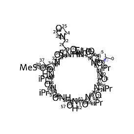 C/C=C/C[C@@H](C)[C@@H](O)[C@H]1C(=O)N[C@@H](CC)C(=O)N(C)[C@H](SCCCN2CCOCC2)C(=O)N(C)[C@@H](CC(C)(C)OCSC)C(=O)N[C@@H](C(C)C)C(=O)N(C)[C@@H](CC(C)C)C(=O)N[C@@H](C)C(=O)N[C@H](C)C(=O)N(C)[C@@H](CC(C)C)C(=O)N(C)[C@@H](CC(C)C)C(=O)N(C)[C@@H](C(C)C)C(=O)N1C